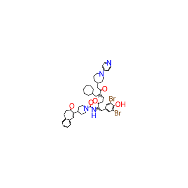 O=C1CCc2ccccc2C=C1C1CCN(C(=O)N[C@H](Cc2cc(Br)c(O)c(Br)c2)C(=O)CC[C@@H](CC2CCCCCC2)C(=O)CC2CCCN(c3ccncc3)CC2)CC1